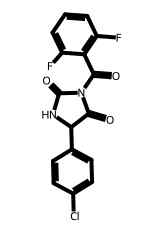 O=C1NC(c2ccc(Cl)cc2)C(=O)N1C(=O)c1c(F)cccc1F